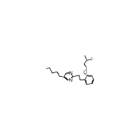 CCCCCc1cnc(CCc2ccccc2OCCC(C)F)nc1